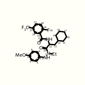 CCN(Nc1ccc(OC)cc1)C(=O)C(CC1CCCCC1)NC(=O)c1cc(C(F)(F)F)ccc1F